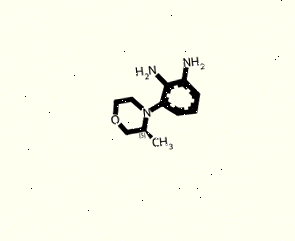 C[C@H]1COCCN1c1cccc(N)c1N